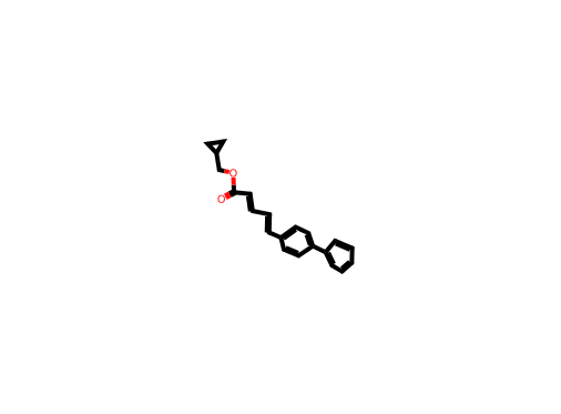 O=C(C=CC=Cc1ccc(-c2ccccc2)cc1)OCC1CC1